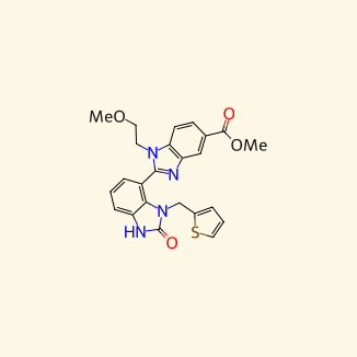 COCCn1c(-c2cccc3[nH]c(=O)n(Cc4cccs4)c23)nc2cc(C(=O)OC)ccc21